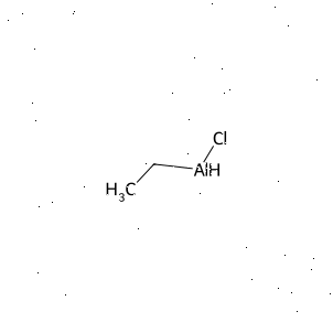 C[CH2][AlH][Cl]